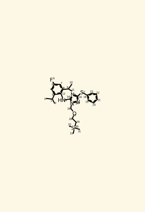 CC(C)c1cc(F)cc(C(C)C)c1Nc1nc(Sc2ccccc2)nn1COCC[Si](C)(C)C